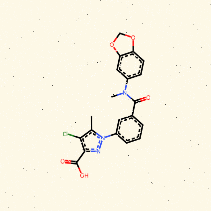 Cc1c(Cl)c(C(=O)O)nn1-c1cccc(C(=O)N(C)c2ccc3c(c2)OCO3)c1